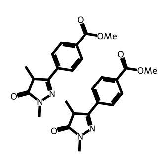 COC(=O)c1ccc(C2=NN(C)C(=O)C2C)cc1.COC(=O)c1ccc(C2=NN(C)C(=O)C2C)cc1